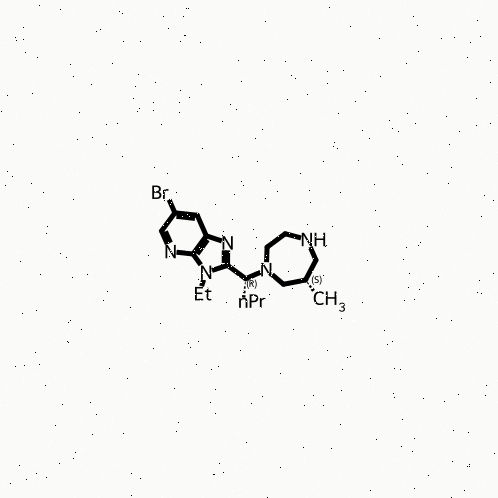 CCC[C@H](c1nc2cc(Br)cnc2n1CC)N1CCNC[C@H](C)C1